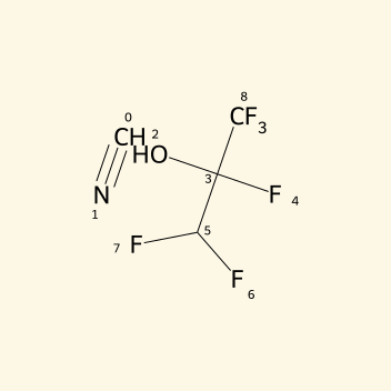 C#N.OC(F)(C(F)F)C(F)(F)F